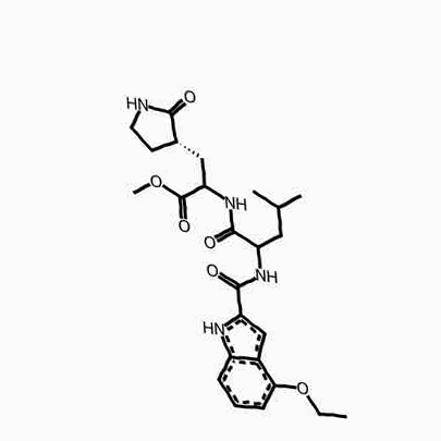 CCOc1cccc2[nH]c(C(=O)NC(CC(C)C)C(=O)NC(C[C@@H]3CCNC3=O)C(=O)OC)cc12